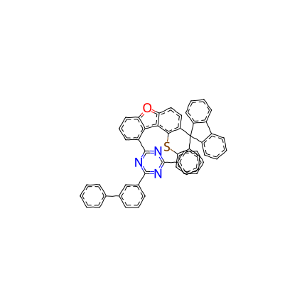 c1ccc(-c2cccc(-c3nc(-c4ccccc4)nc(-c4cccc5oc6ccc7c(c6c45)Sc4ccccc4C74c5ccccc5-c5ccccc54)n3)c2)cc1